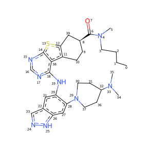 CCCCN(C)C(=O)[C@H]1CCc2c(sc3ncnc(Nc4cc5cn[nH]c5cc4N4CCC(N(C)C)CC4)c23)C1